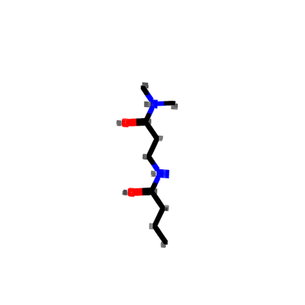 CCCC(=O)NCCC(=O)N(C)C